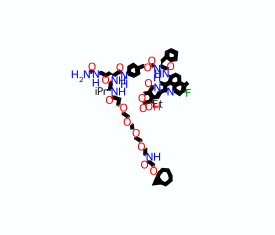 CC[C@@]1(O)C(=O)OCc2c1cc1n(c2=O)Cc2c-1nc1cc(F)c(C)c3c1c2[C@@H](NC(=O)[C@H](Cc1ccccc1)NC(=O)OCc1ccc(NC(=O)[C@H](CCCNC(N)=O)NC(=O)[C@@H](NC(=O)CCOCCOCCOCCOCCNC(=O)COC2CCCCCC4=CC42)C(C)C)cc1)CC3